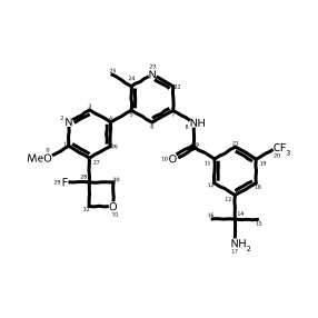 COc1ncc(-c2cc(NC(=O)c3cc(C(C)(C)N)cc(C(F)(F)F)c3)cnc2C)cc1C1(F)COC1